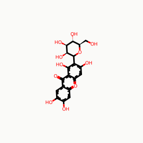 O=c1c2cc(O)c(O)cc2oc2cc(O)c(C3O[C@H](CO)[C@@H](O)[C@H](O)[C@@H]3O)c(O)c12